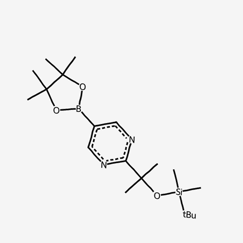 CC(C)(O[Si](C)(C)C(C)(C)C)c1ncc(B2OC(C)(C)C(C)(C)O2)cn1